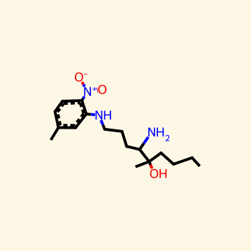 CCCCC(C)(O)C(N)CCCNc1cc(C)ccc1[N+](=O)[O-]